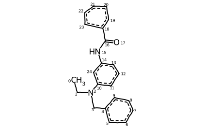 CCN(Cc1ccccc1)c1cccc(NC(=O)c2ccccc2)c1